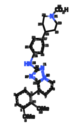 COc1cccc(-c2cccn3nc(Nc4ccc(C5CCN(C(=O)O)CC5)cc4)nc23)c1OC